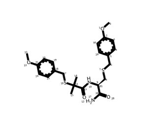 COc1ccc(CSC[C@H](NC(=O)C(C)(C)SCc2ccc(OC)cc2)C(N)=O)cc1